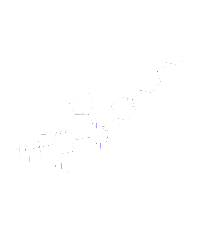 C=C/C=C\C=C/Cc1ccc(-c2nnc(C(/C=C\CC(C)(C)C)=C/C=C)n2-c2ccccc2)cc1